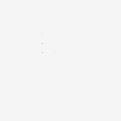 [N-]=[N+]=NC(F)C(=O)c1ccccc1